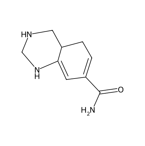 NC(=O)C1=CCC2CNCNC2=C1